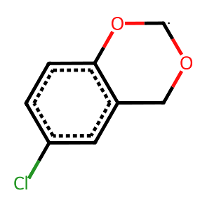 Clc1ccc2c(c1)CO[CH]O2